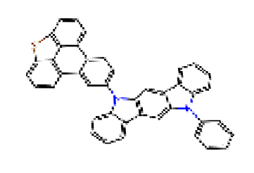 c1ccc(-n2c3ccccc3c3cc4c(cc32)c2ccccc2n4-c2ccc3c(c2)c2cccc4sc5cccc3c5c42)cc1